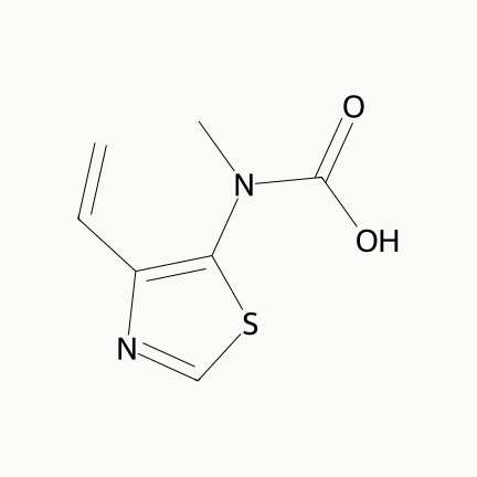 C=Cc1ncsc1N(C)C(=O)O